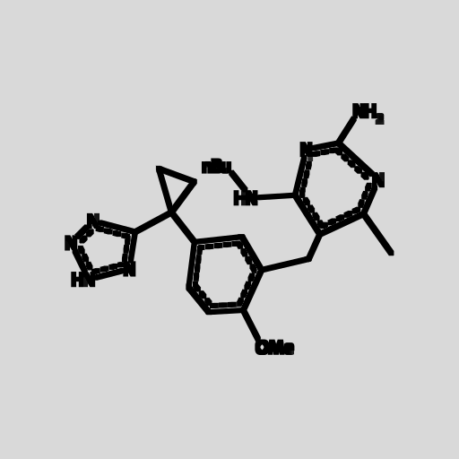 CCCCNc1nc(N)nc(C)c1Cc1cc(C2(c3nn[nH]n3)CC2)ccc1OC